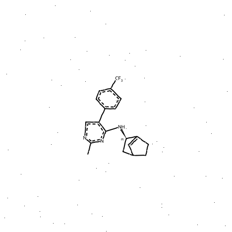 Cc1ncc(-c2ccc(C(F)(F)F)cc2)c(N[C@@H]2CC3C=C2CC3)n1